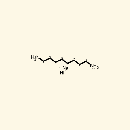 I.NCCCCCCCCN.[NaH]